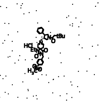 CCN1C(=O)N(Cc2ccc(S(C)(=O)=O)cc2)C(=O)C12CCN(C[C@H]1CN(C(=O)CC(C)(C)C)C[C@@H]1c1ccccc1)CC2.Cl